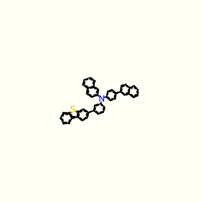 c1cc(-c2ccc3c(c2)sc2ccccc23)cc(N(c2ccc(-c3ccc4ccccc4c3)cc2)c2ccc3ccccc3c2)c1